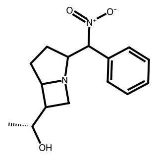 C[C@@H](O)C1CN2C1CCC2C(c1ccccc1)[N+](=O)[O-]